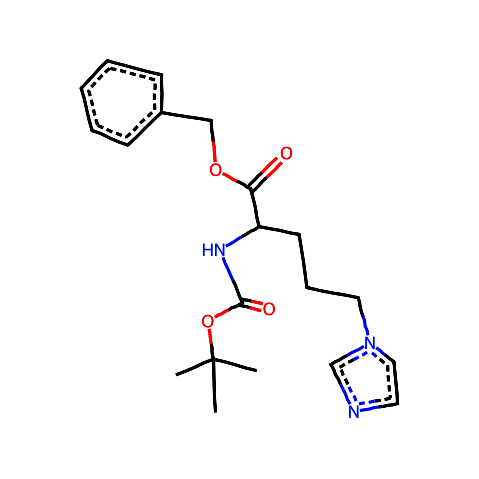 CC(C)(C)OC(=O)NC(CCCn1ccnc1)C(=O)OCc1ccccc1